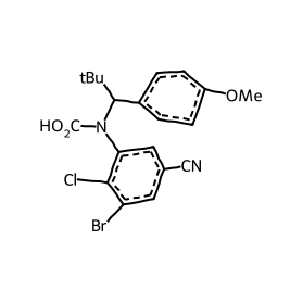 COc1ccc(C(N(C(=O)O)c2cc(C#N)cc(Br)c2Cl)C(C)(C)C)cc1